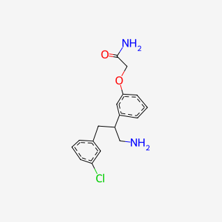 NCC(Cc1cccc(Cl)c1)c1cccc(OCC(N)=O)c1